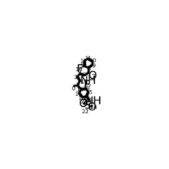 CC(c1ccc(C(=O)c2ccccc2F)[nH]1)c1ccc(NS(C)(=O)=O)cc1F